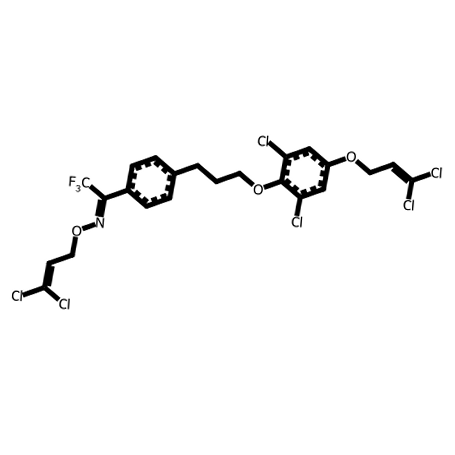 FC(F)(F)C(=NOCC=C(Cl)Cl)c1ccc(CCCOc2c(Cl)cc(OCC=C(Cl)Cl)cc2Cl)cc1